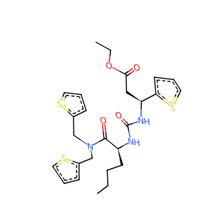 CCCC[C@H](NC(=O)N[C@@H](CC(=O)OCC)c1cccs1)C(=O)N(Cc1cccs1)Cc1cccs1